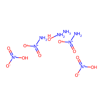 N.NO.N[N+](=O)[O-].N[N+](=O)[O-].O=[N+]([O-])O.O=[N+]([O-])O